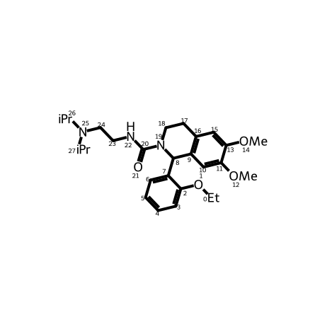 CCOc1ccccc1C1c2cc(OC)c(OC)cc2CCN1C(=O)NCCN(C(C)C)C(C)C